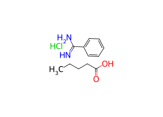 CCCCC(=O)O.Cl.N=C(N)c1ccccc1